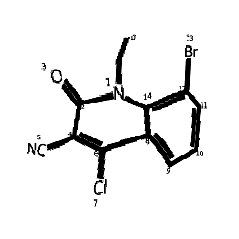 Cn1c(=O)c(C#N)c(Cl)c2cccc(Br)c21